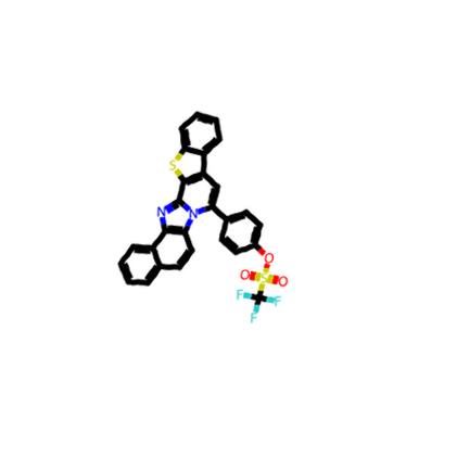 O=S(=O)(Oc1ccc(-c2cc3c4ccccc4sc3c3nc4c5ccccc5ccc4n23)cc1)C(F)(F)F